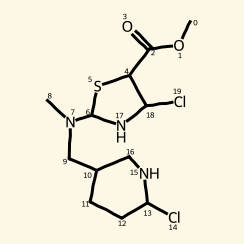 COC(=O)C1SC(N(C)CC2CCC(Cl)NC2)NC1Cl